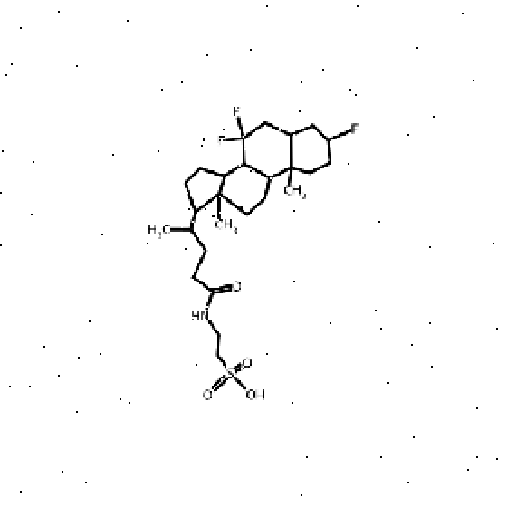 CC(CCC(=O)NCCS(=O)(=O)O)C1CCC2C3C(CCC12C)C1(C)CCC(F)CC1CC3(F)F